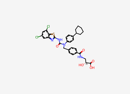 O=C(NC[C@@H](O)C(=O)O)c1ccc(CN(C(=O)Nc2nc3cc(Cl)cc(Cl)c3s2)c2ccc(C3CCCCC3)cc2)cc1